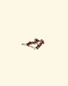 C=C(C)[C@@H]1CC[C@]2(CN(C)CCCN3CCS(=O)(=O)C(OC(=O)c4cnc(N5CC[C@]6(C)[C@H]7CC[C@@H]8[C@H]9[C@H](C(=C)C)CC[C@]9(C(=O)O)CC[C@@]8(C)[C@]7(C)CC[C@H]6C5(C)C)nc4)C3)CC[C@]3(C)[C@H](CC[C@@H]4[C@@]5(C)CCN(c6ccc(C(=O)O)nc6)C(C)(C)[C@@H]5CC[C@]43C)[C@@H]12